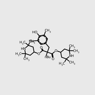 CCCCC(Cc1cc(C)c(O)c(C(C)(C)C)c1)(C(=O)OC1CC(C)(C)NC(C)(C)C1)C(=O)OC1CC(C)(C)NC(C)(C)C1